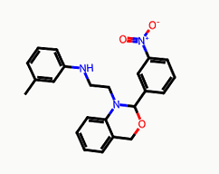 Cc1cccc(NCCN2c3ccccc3COC2c2cccc([N+](=O)[O-])c2)c1